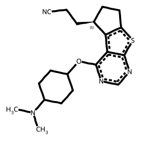 CN(C)C1CCC(Oc2ncnc3sc4c(c23)[C@@H](CCC#N)CC4)CC1